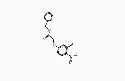 O=C(COc1ccc([N+](=O)[O-])c(F)c1)OCc1ccccc1